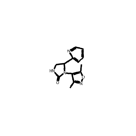 Cc1noc(C)c1N1C(=O)NCC1c1ccccn1